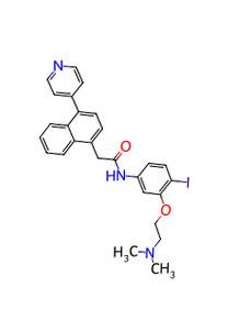 CN(C)CCOc1cc(NC(=O)Cc2ccc(-c3ccncc3)c3ccccc23)ccc1I